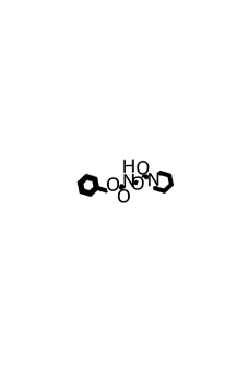 O=C(NOC(=O)N1CCCCC1)OCc1ccccc1